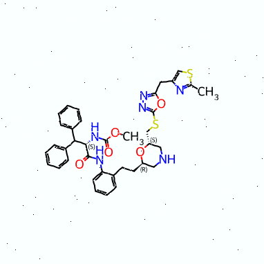 COC(=O)N[C@H](C(=O)Nc1ccccc1CC[C@@H]1CNC[C@@H](CSc2nnc(Cc3csc(C)n3)o2)O1)C(c1ccccc1)c1ccccc1